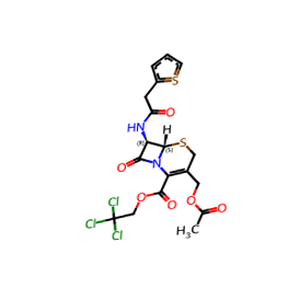 CC(=O)OCC1=C(C(=O)OCC(Cl)(Cl)Cl)N2C(=O)[C@@H](NC(=O)Cc3cccs3)[C@@H]2SC1